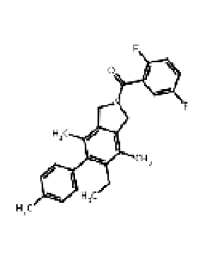 CCc1c(C)c2c(c(C)c1-c1ccc(C)cc1)CN(C(=O)c1cc(F)ccc1F)C2